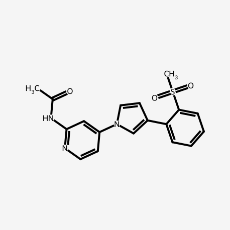 CC(=O)Nc1cc(-n2ccc(-c3ccccc3S(C)(=O)=O)c2)ccn1